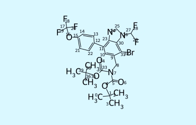 CC(C)(C)OC(=O)N(Cc1cc(-c2ccc(OC(F)(F)F)cc2)c2ncn(C(F)F)c2c1Br)C(=O)OC(C)(C)C